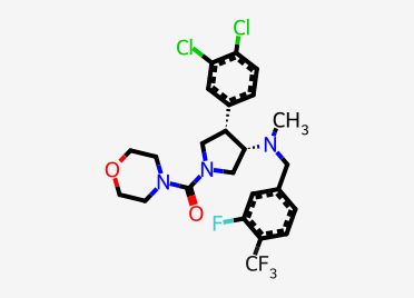 CN(Cc1ccc(C(F)(F)F)c(F)c1)[C@@H]1CN(C(=O)N2CCOCC2)C[C@@H]1c1ccc(Cl)c(Cl)c1